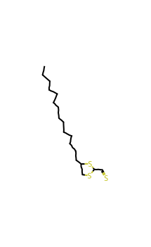 CCCCCCCCCCCCCCC1CSC(C=S)S1